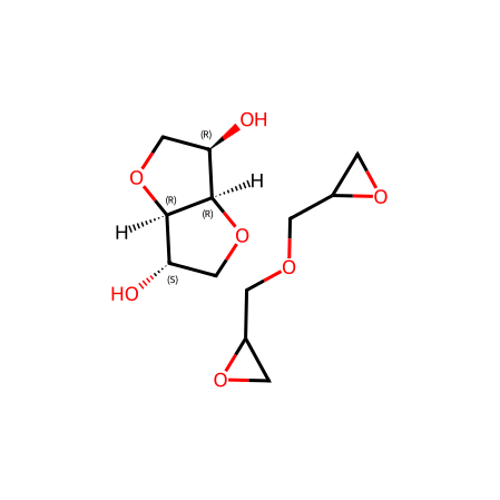 C(OCC1CO1)C1CO1.O[C@@H]1CO[C@H]2[C@@H]1OC[C@@H]2O